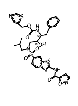 CC(C)CN(C[C@@H](O)[C@H](Cc1ccccc1)NC(=O)OCc1cncs1)S(=O)(=O)c1ccc2nc(NC(=O)c3ccno3)sc2c1